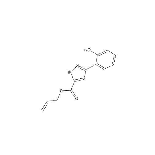 C=CCOC(=O)c1cc(-c2ccccc2O)n[nH]1